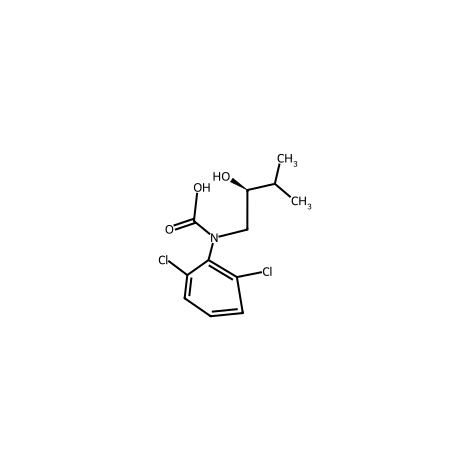 CC(C)[C@H](O)CN(C(=O)O)c1c(Cl)cccc1Cl